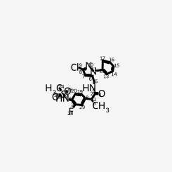 CC(C(=O)NCc1cc(Cl)nn1-c1ccccc1)c1ccc(NS(C)(=O)=O)c(F)c1